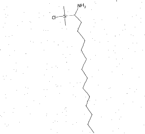 CCCCCCCCCCCCCC(N)[Si](C)(C)Cl